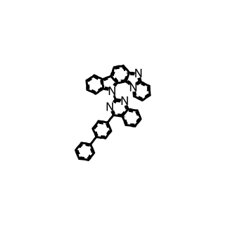 c1ccc(-c2ccc(-c3nc(-n4c5ccccc5c5ccc6nc7ccccn7c6c54)nc4ccccc34)cc2)cc1